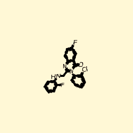 O=c1c2cc(F)ccc2nc(CNc2ccccc2F)n1-c1ccccc1Cl